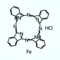 Cl.[Fe].c1ccc2c(c1)-c1nc-2nc2[nH]c(nc3nc(nc4[nH]c(n1)c1ccccc41)-c1ccccc1-3)c1ccccc21